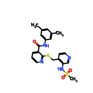 Cc1cc(C)cc(NC(=O)c2cccnc2SCc2ccncc2NS(C)(=O)=O)c1